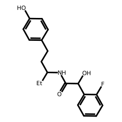 CCC(CCc1ccc(O)cc1)NC(=O)C(O)c1ccccc1F